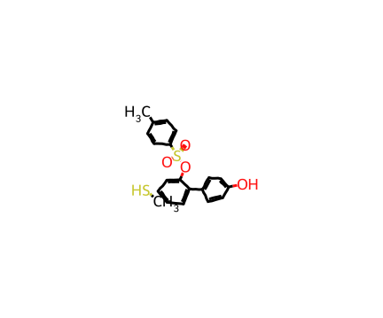 CS.Cc1ccc(S(=O)(=O)Oc2ccccc2-c2ccc(O)cc2)cc1